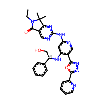 CCN1C(=O)c2cnc(Nc3cc(N[C@H](CO)c4ccccc4)c(-c4nnc(-c5ccccn5)o4)cn3)nc2C1(C)C